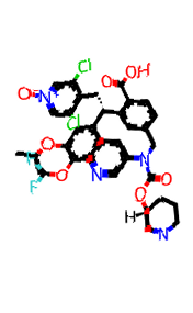 CC(C)Oc1cc([C@H](Cc2c(Cl)c[n+]([O-])cc2Cl)c2cc(CN(C(=O)O[C@H]3CN4CCC3CC4)c3cccnc3)ccc2C(=O)O)ccc1OC(F)F